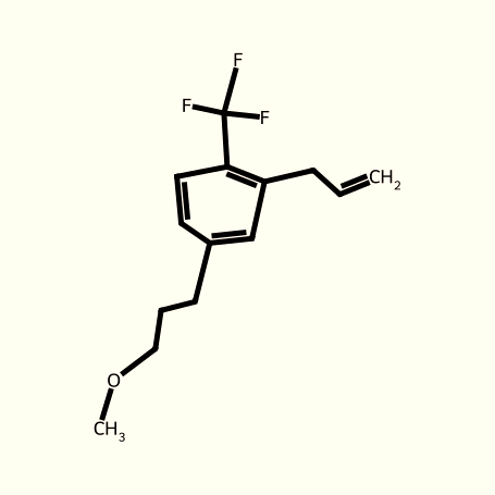 C=CCc1cc(CCCOC)ccc1C(F)(F)F